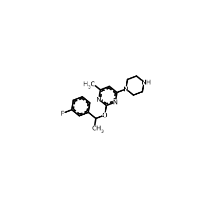 Cc1cc(N2CCNCC2)nc(OC(C)c2cccc(F)c2)n1